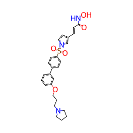 O=C(/C=C/c1ccn(S(=O)(=O)c2ccc(-c3cccc(OCCCN4CCCC4)c3)cc2)c1)NO